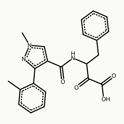 Cc1ccccc1-c1nn(C)cc1C(=O)NC(Cc1ccccc1)C(=O)C(=O)O